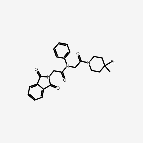 CCC1(C)CCN(C(=O)CN(C(=O)CN2C(=O)c3ccccc3C2=O)c2ccccc2)CC1